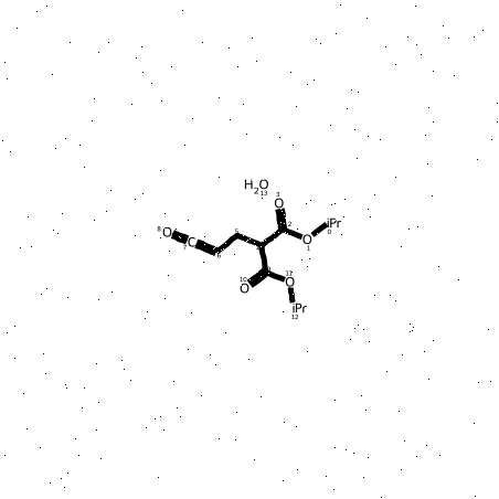 CC(C)OC(=O)C(CC=C=O)C(=O)OC(C)C.O